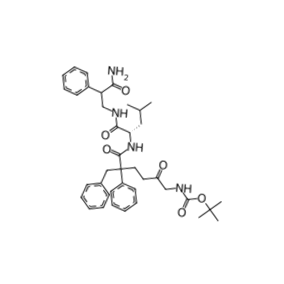 CC(C)C[C@H](NC(=O)C(CCC(=O)CNC(=O)OC(C)(C)C)(Cc1ccccc1)c1ccccc1)C(=O)NCC(C(N)=O)c1ccccc1